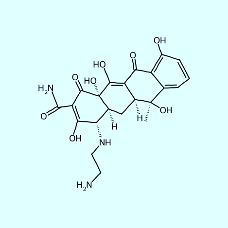 C[C@@]1(O)c2cccc(O)c2C(=O)C2=C(O)[C@]3(O)C(=O)C(C(N)=O)=C(O)[C@@H](NCCN)[C@@H]3C[C@@H]21